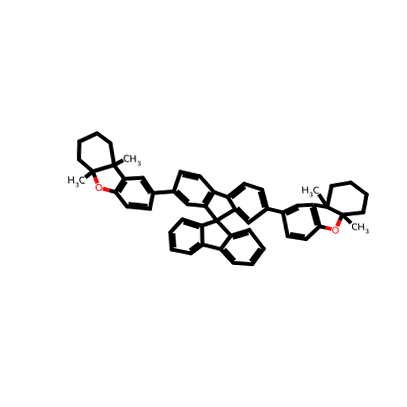 CC12CCCCC1(C)c1cc(-c3ccc4c(c3)C3(c5ccccc5-c5ccccc53)c3cc(-c5ccc6c(c5)C5(C)CCCCC5(C)O6)ccc3-4)ccc1O2